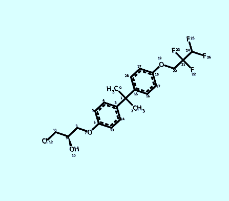 CC(C)(c1ccc(OC[C@@H](O)CCl)cc1)c1ccc(OCC(F)(F)C(F)F)cc1